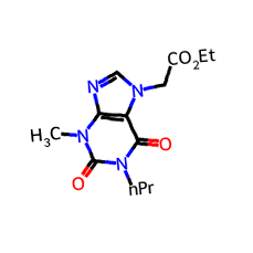 CCCn1c(=O)c2c(ncn2CC(=O)OCC)n(C)c1=O